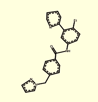 CCc1ccc(NC(=O)c2ccc(Cn3cccn3)cc2)cc1-c1ccccn1